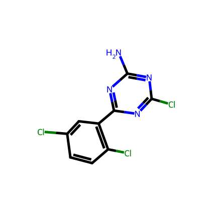 Nc1nc(Cl)nc(-c2cc(Cl)ccc2Cl)n1